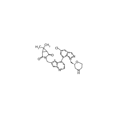 CC1(C)C2C(=O)N(Cc3cc4nccc(-c5cc(Cl)cc6cnn(C[C@@H]7CNCCO7)c56)c4s3)C(=O)C21